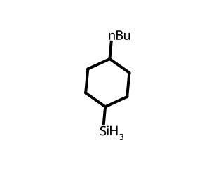 CCCCC1CCC([SiH3])CC1